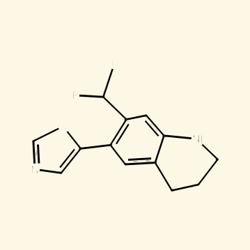 FC(F)c1cc2c(cc1-c1cncs1)CCCN2